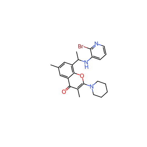 Cc1cc(C(C)Nc2cccnc2Br)c2oc(N3CCCCC3)c(C)c(=O)c2c1